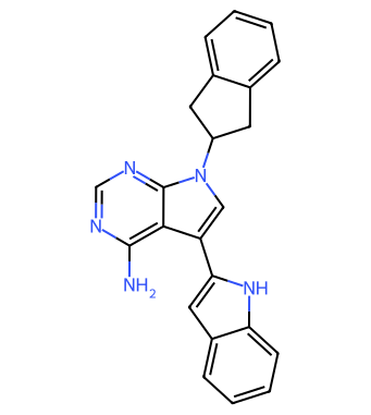 Nc1ncnc2c1c(-c1cc3ccccc3[nH]1)cn2C1Cc2ccccc2C1